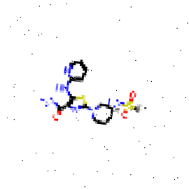 CC(C)S(=O)(=O)N[C@@H]1CCCN(c2nc(C(N)=O)c(Nc3ccccn3)s2)C1